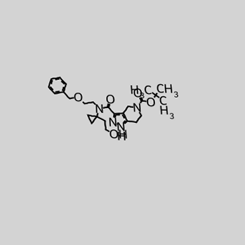 CC(C)(C)OC(=O)N1CCc2[nH]nc(C(=O)N(CCOCc3ccccc3)C3(CCO)CC3)c2C1